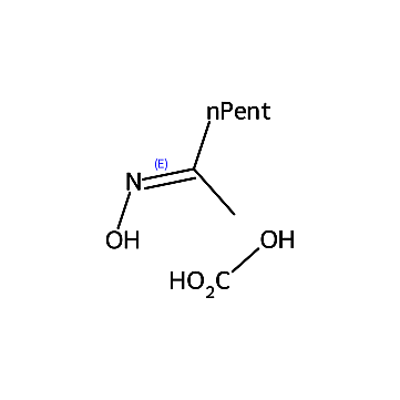 CCCCC/C(C)=N/O.O=C(O)O